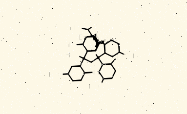 CCCC1OOC1(CC)C(=O)OC(CC(C)(C1CC(C)CCC1C(C)C)C1CC(C)CCC1C(C)C)(C1CC(C)CCC1C(C)C)C1CC(C)CCC1C(C)C